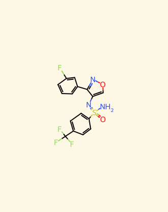 NS(=O)(=Nc1conc1-c1cccc(F)c1)c1ccc(C(F)(F)F)cc1